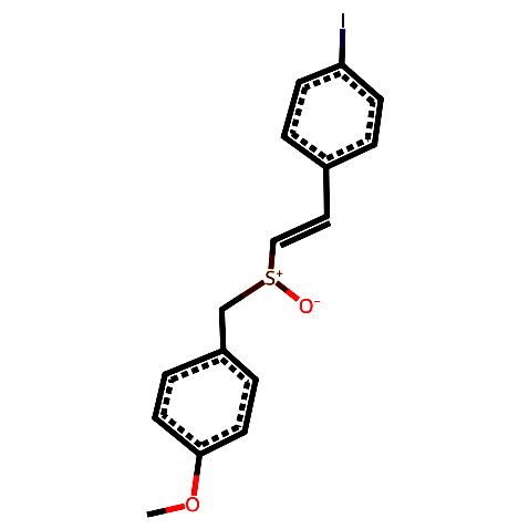 COc1ccc(C[S+]([O-])/C=C/c2ccc(I)cc2)cc1